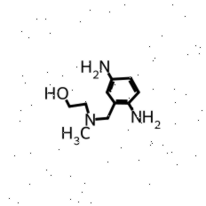 CN(CCO)Cc1cc(N)ccc1N